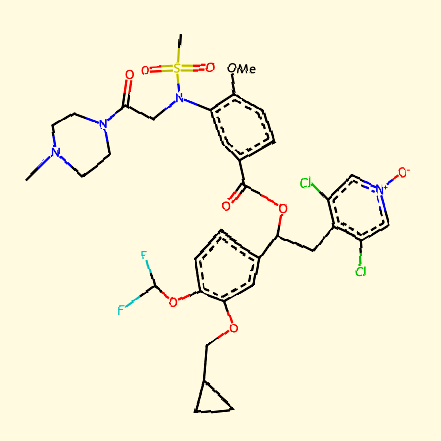 COc1ccc(C(=O)OC(Cc2c(Cl)c[n+]([O-])cc2Cl)c2ccc(OC(F)F)c(OCC3CC3)c2)cc1N(CC(=O)N1CCN(C)CC1)S(C)(=O)=O